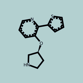 c1csc(-c2ncccc2O[C@H]2CCNC2)c1